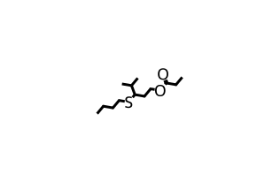 CCCCSC(CCOC(=O)CC)C(C)C